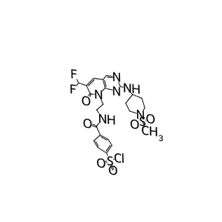 CS(=O)(=O)N1CCC(Nc2ncc3cc(C(F)F)c(=O)n(CCNC(=O)c4ccc(S(=O)(=O)Cl)cc4)c3n2)CC1